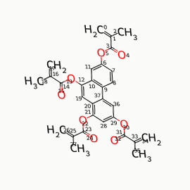 C=C(C)C(=O)Oc1ccc2c(c1)c(OC(=O)C(=C)C)cc1c(OC(=O)C(=C)C)cc(OC(=O)C(=C)C)cc12